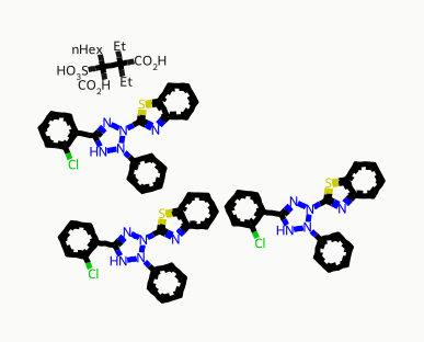 CCCCCCC(C(=O)O)(C(CC)(CC)C(=O)O)S(=O)(=O)O.Clc1ccccc1C1=NN(c2nc3ccccc3s2)N(c2ccccc2)N1.Clc1ccccc1C1=NN(c2nc3ccccc3s2)N(c2ccccc2)N1.Clc1ccccc1C1=NN(c2nc3ccccc3s2)N(c2ccccc2)N1